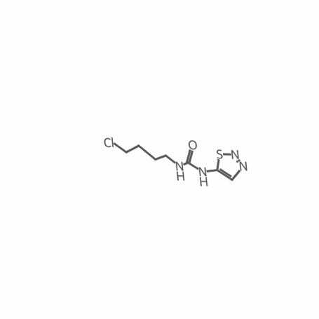 O=C(NCCCCCl)Nc1cnns1